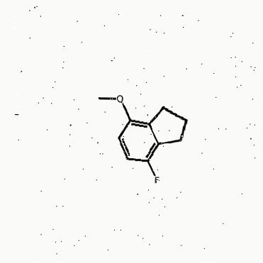 COc1ccc(F)c2c1CCC2